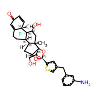 C[C@]12C=CC(=O)C=C1CC[C@H]1[C@@H]3C[C@H]4O[C@H](c5cc(Cc6cccc(N)c6)cs5)O[C@@]4(C(=O)CO)[C@@]3(C)C[C@H](O)[C@@]12F